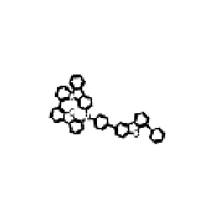 c1ccc(-c2cccc3c2oc2ccc(-c4ccc(N(c5ccc6c(c5)oc5ccccc56)c5cccc6c5oc5c(-c7ccccc7)cccc56)cc4)cc23)cc1